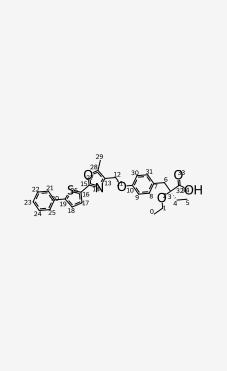 CCO[C@@](CC)(Cc1ccc(OCc2nc(-c3ccc(-c4ccccc4)s3)oc2C)cc1)C(=O)O